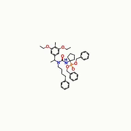 CCOc1cc(C(C)N(CCCCc2ccccc2)C(=O)NC2(P(=O)(OCc3ccccc3)OCc3ccccc3)CCCC2)cc(OCC)c1C